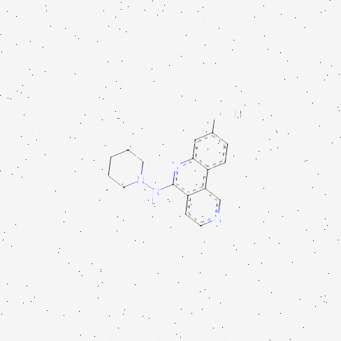 O=C(O)c1ccc2c(c1)nc(NN1CCCCC1)c1ccncc12